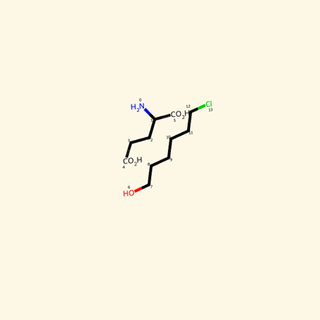 NC(CCC(=O)O)C(=O)O.OCCCCCCCl